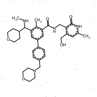 CNC(c1cc(-c2ccc(CN3CCOCC3)cc2)cc(C(=O)NCc2c(CO)cc(C)[nH]c2=O)c1C)C1CCOCC1